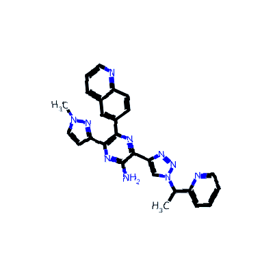 CC(c1ccccn1)n1cc(-c2nc(-c3ccc4ncccc4c3)c(-c3ccn(C)n3)nc2N)nn1